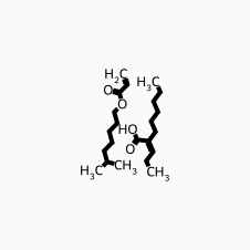 C=CC(=O)OCCCCCC(C)C.CCC=C(CCCCCC)C(=O)O